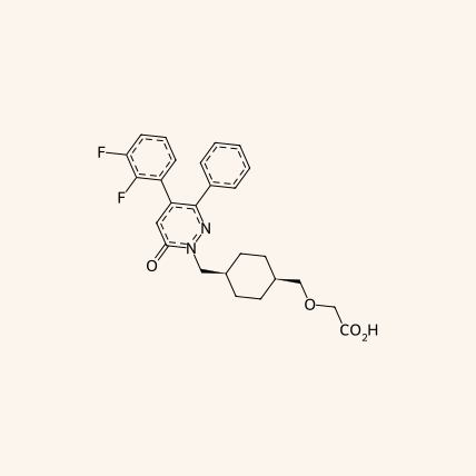 O=C(O)COC[C@H]1CC[C@@H](Cn2nc(-c3ccccc3)c(-c3cccc(F)c3F)cc2=O)CC1